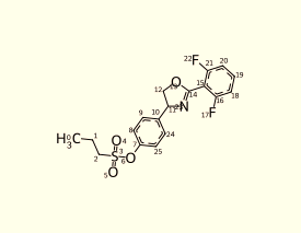 CCCS(=O)(=O)Oc1ccc(C2COC(c3c(F)cccc3F)=N2)cc1